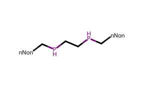 CCCCCCCCCCPCCPCCCCCCCCCC